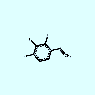 C=[C]c1ccc(F)c(F)c1F